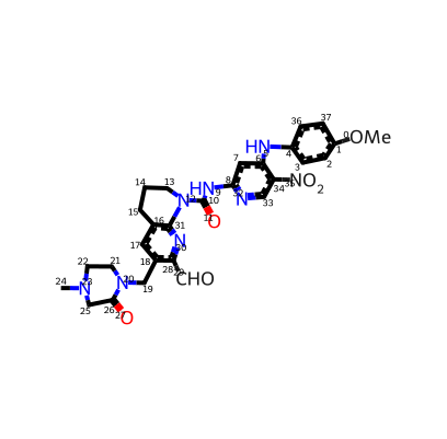 COc1ccc(Nc2cc(NC(=O)N3CCCc4cc(CN5CCN(C)CC5=O)c(C=O)nc43)ncc2[N+](=O)[O-])cc1